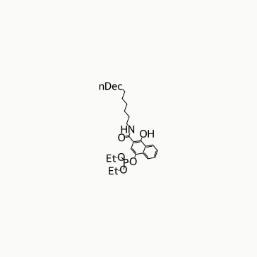 CCCCCCCCCCCCCCCCNC(=O)c1cc(OP(OCC)OCC)c2ccccc2c1O